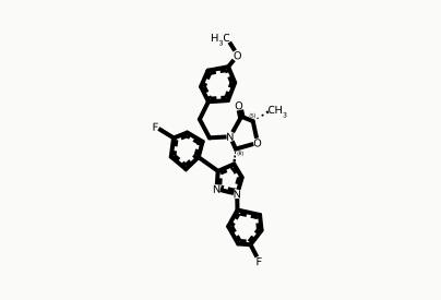 COc1ccc(CCN2C(=O)[C@H](C)O[C@@H]2c2cn(-c3ccc(F)cc3)nc2-c2ccc(F)cc2)cc1